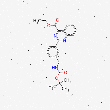 CCOC(=O)c1nc(-c2cccc(CNC(=O)OC(C)(C)C)c2)nc2ccccc12